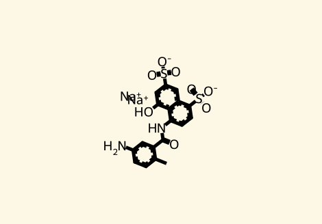 Cc1ccc(N)cc1C(=O)Nc1ccc(S(=O)(=O)[O-])c2cc(S(=O)(=O)[O-])cc(O)c12.[Na+].[Na+]